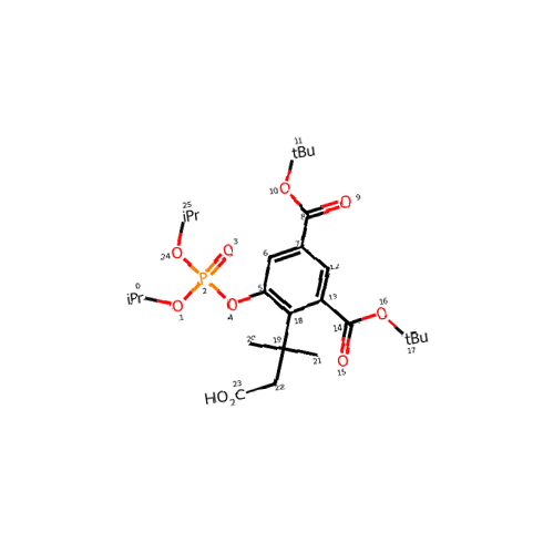 CC(C)OP(=O)(Oc1cc(C(=O)OC(C)(C)C)cc(C(=O)OC(C)(C)C)c1C(C)(C)CC(=O)O)OC(C)C